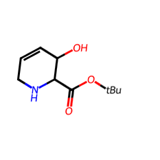 CC(C)(C)OC(=O)C1NCC=CC1O